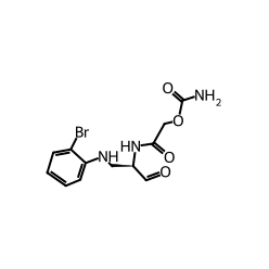 NC(=O)OCC(=O)N[C@@H](C=O)CNc1ccccc1Br